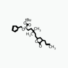 CC=CCC1CC(CCC(C)(C)CCN(OCc2ccccc2)C(=O)OC(C)(C)C)OC1=O